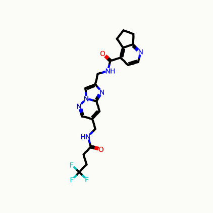 O=C(CCC(F)(F)F)NCc1cnn2cc(CNC(=O)c3ccnc4c3CCC4)nc2c1